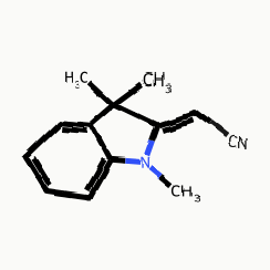 CN1/C(=C\C#N)C(C)(C)c2ccccc21